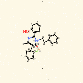 Cc1nc(-c2ccccc2O)n(CCc2ccccc2)c(=O)c1-c1ccccc1F